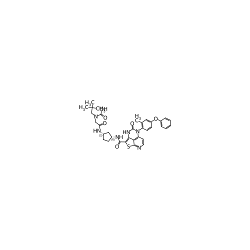 Cc1cc(Oc2ccccc2)ccc1N1C(=O)Nc2c(C(=O)N[C@@H]3CC[C@H](NC(=O)CN(CC(C)(C)C)C(=O)O)C3)sc3nccc1c23